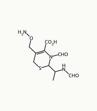 CC(NC=O)C1SCC(CON)=C(C(=O)O)N1C=O